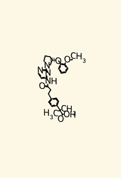 CCOc1ccccc1O[C@@H]1CCCN(c2nccc(NC(=O)CCc3ccc(C(C)(C)C(=O)O)cc3)n2)C1